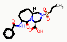 CCCS(=O)(=O)N1C[C@@H]2C/C=C\C[C@H](NC(=O)c3ccccc3)C(=O)N2[C@H](C(=O)O)C1